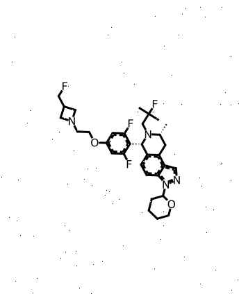 C[C@@H]1Cc2c(ccc3c2cnn3C2CCCCO2)[C@H](c2c(F)cc(OCCN3CC(CF)C3)cc2F)N1CC(C)(C)F